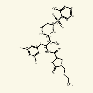 CCCCN1CC(C(=O)NC(Cc2cc(F)cc(F)c2)[C@H](O)[C@H]2CN(S(=O)(=O)c3ccccc3Cl)CCN2)CC1=O